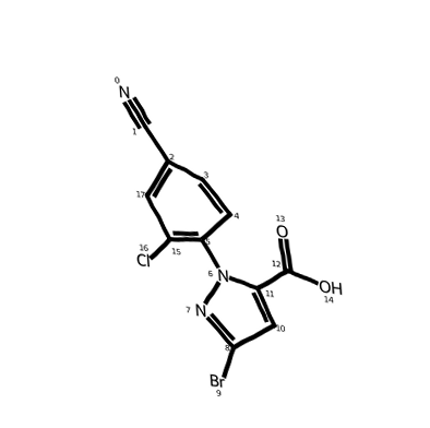 N#Cc1ccc(-n2nc(Br)cc2C(=O)O)c(Cl)c1